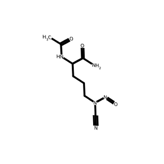 CC(=O)NC(CCCN(C#N)N=O)C(N)=O